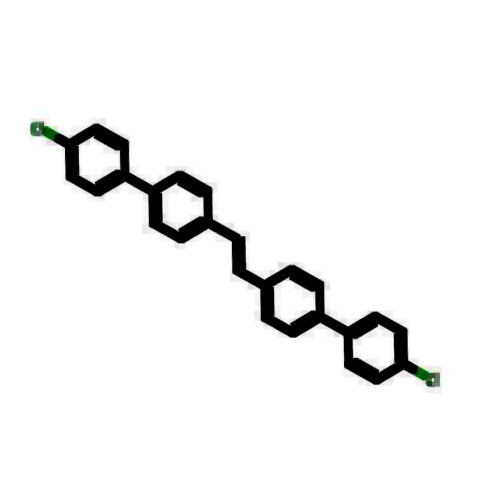 Clc1ccc(-c2ccc(C=Cc3ccc(-c4ccc(Cl)cc4)cc3)cc2)cc1